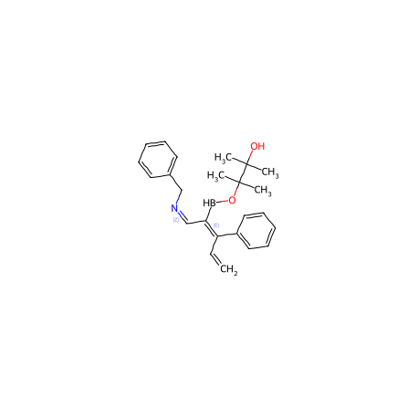 C=C/C(=C(BOC(C)(C)C(C)(C)O)\C=N/Cc1ccccc1)c1ccccc1